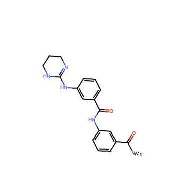 CNC(=O)c1[c]ccc(NC(=O)c2cccc(NC3=NCCCN3)c2)c1